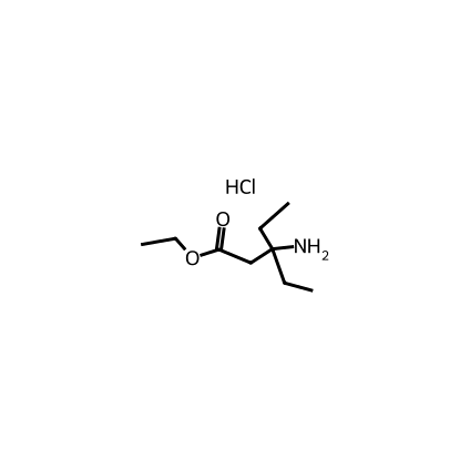 CCOC(=O)CC(N)(CC)CC.Cl